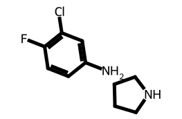 C1CCNC1.Nc1ccc(F)c(Cl)c1